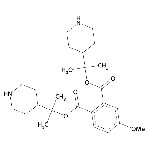 COc1ccc(C(=O)OC(C)(C)C2CCNCC2)c(C(=O)OC(C)(C)C2CCNCC2)c1